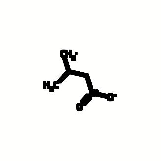 [CH2]C(C)C[N+](=O)[O-]